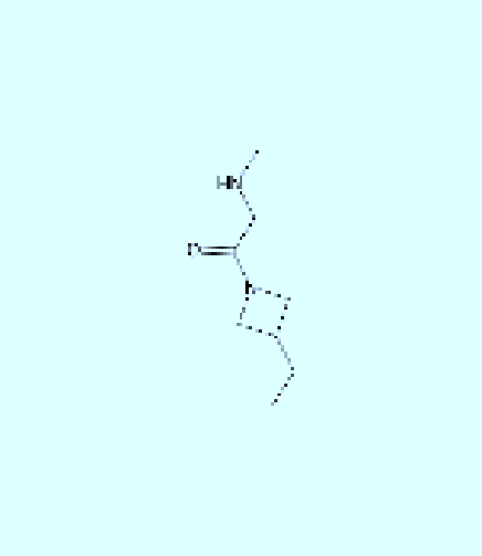 CCC1CN(C(=O)CNC)C1